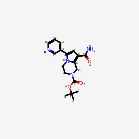 CC(C)(C)OC(=O)N1CCn2c(-c3cccnc3)cc(C(N)=O)c2C1